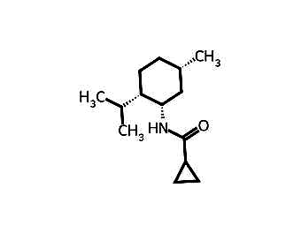 CC(C)[C@@H]1CC[C@H](C)C[C@@H]1NC(=O)C1CC1